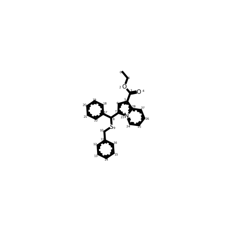 CCOC(=O)c1cc(C(SCc2ccccc2)c2ccccc2)n2ccccc12